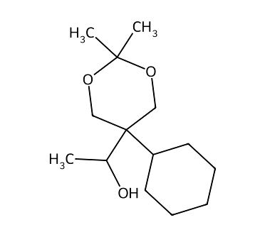 CC(O)C1(C2CCCCC2)COC(C)(C)OC1